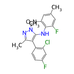 Cc1cc(F)c(Nc2c(-c3ccc(F)cc3Cl)c(C)nn2C)c([N+](=O)[O-])c1